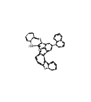 C1=CC2=Nc3c(n4c5ccc6sc7ccccc7c6c5c5cc(-c6cccc7ccccc67)cc3c54)NC2C=C1